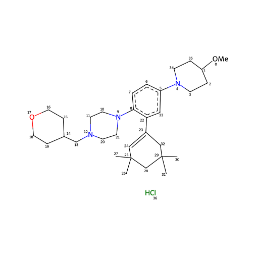 COC1CCN(c2ccc(N3CCN(CC4CCOCC4)CC3)c(C3=CC(C)(C)CC(C)(C)C3)c2)CC1.Cl